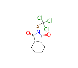 O=C1C2CCCCC2C(=O)N1SC(Cl)(Cl)Cl